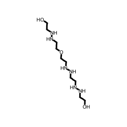 OCCNNCCNNCCOCCNNCCO